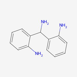 Nc1ccccc1C(N)c1ccccc1N